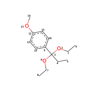 CCOC(CC)(OCC)c1ccc(OC)cc1